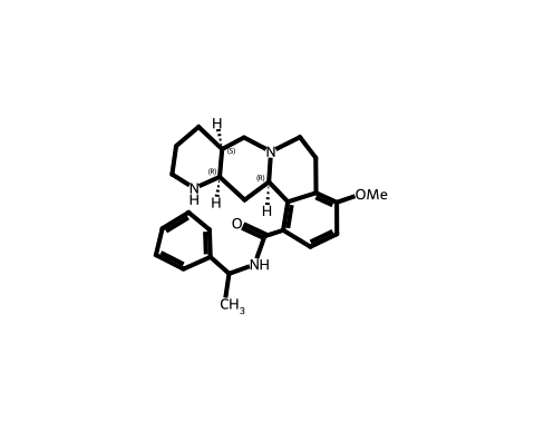 COc1ccc(C(=O)NC(C)c2ccccc2)c2c1CCN1C[C@@H]3CCCN[C@@H]3C[C@H]21